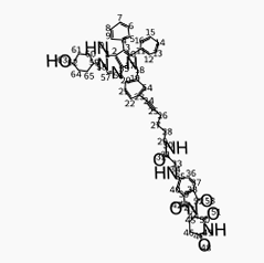 N=c1c2c(-c3ccccc3)c(-c3ccccc3)n(Cc3cccc(C#CCCCCNC(=O)CNc4ccc5c(c4)C(=O)N(C4CCC(=O)NC4=O)C5=O)c3)c2ncn1C1CCC(O)CC1